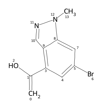 C=C(O)c1cc(Br)cc2c1cnn2C